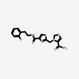 NC(=O)C1=CSCN1Cc1nc(C(=O)NCCc2ccccc2F)cs1